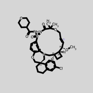 CO[C@H]1/C=C/COC(C)(C)C(=O)N=S(=O)(NC(=O)C2CCOCC2)c2ccc3c(c2)N(C[C@@H]2CC[C@H]21)C[C@@]1(CCCc2cc(Cl)ccc21)CO3